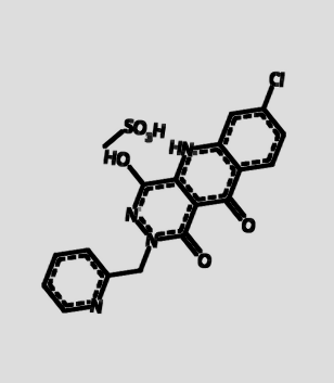 CS(=O)(=O)O.O=c1c2ccc(Cl)cc2[nH]c2c(O)nn(Cc3ccccn3)c(=O)c12